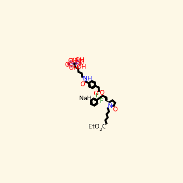 CCOC(=O)CCCCCCN1C(=O)CC[C@@H]1/C=C/[C@@H](OC(=O)Cc1ccc(C(=O)NCCCCCC(O)(P(=O)(O)O)P(=O)(O)O)cc1)C(F)(F)c1ccccc1.[NaH]